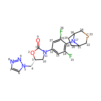 O=C1O[C@@H](Cn2ccnn2)CN1c1cc(F)c(N2C3CCC2CSC3)c(F)c1